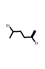 C=C(CC)CCC(C)CC